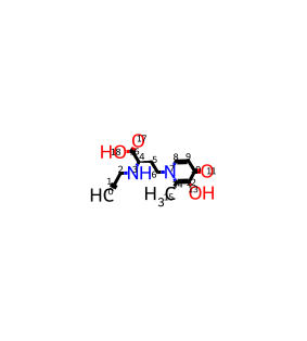 C#CCN[C@H](CCn1ccc(=O)c(O)c1C)C(=O)O